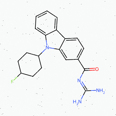 NC(N)=NC(=O)c1ccc2c3ccccc3n(C3CCC(F)CC3)c2c1